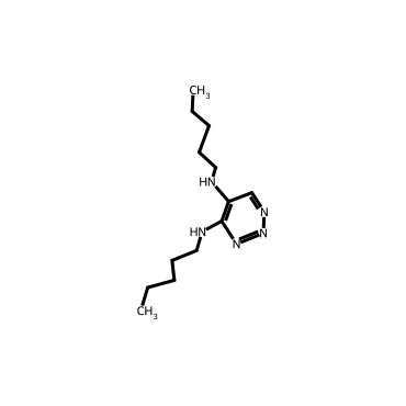 CCCCCNc1cnnnc1NCCCCC